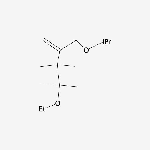 C=C(COC(C)C)C(C)(C)C(C)(C)OCC